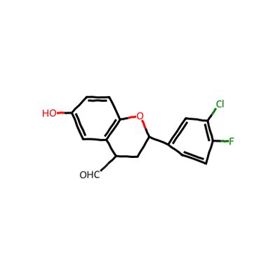 O=CC1CC(c2ccc(F)c(Cl)c2)Oc2ccc(O)cc21